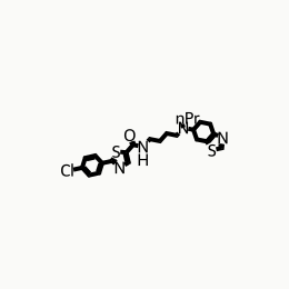 CCCN(CCCCNC(=O)c1cnc(-c2ccc(Cl)cc2)s1)C1CCc2ncsc2C1